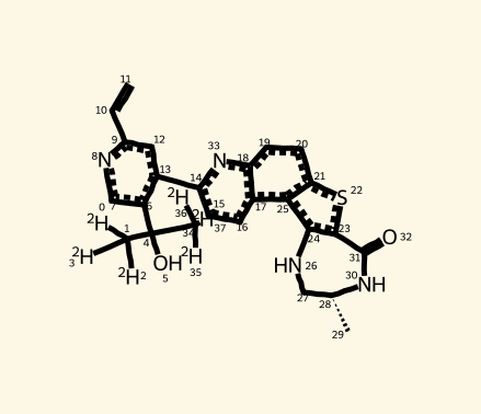 [2H]C([2H])([2H])C(O)(c1cnc(C=C)cc1-c1ccc2c(ccc3sc4c(c32)NC[C@@H](C)NC4=O)n1)C([2H])([2H])[2H]